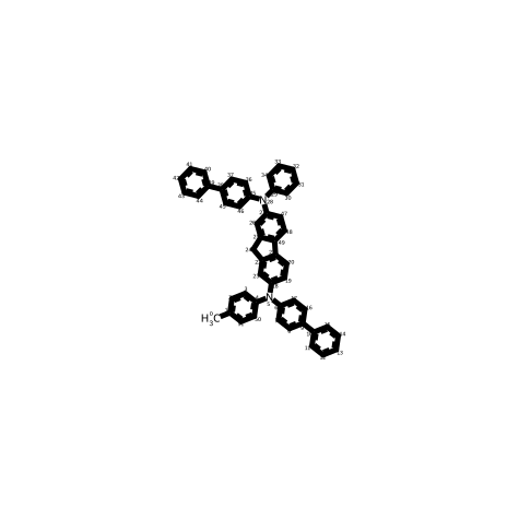 Cc1ccc(N(c2ccc(-c3ccccc3)cc2)c2ccc3c(c2)Cc2cc(N(c4ccccc4)c4ccc(-c5ccccc5)cc4)ccc2-3)cc1